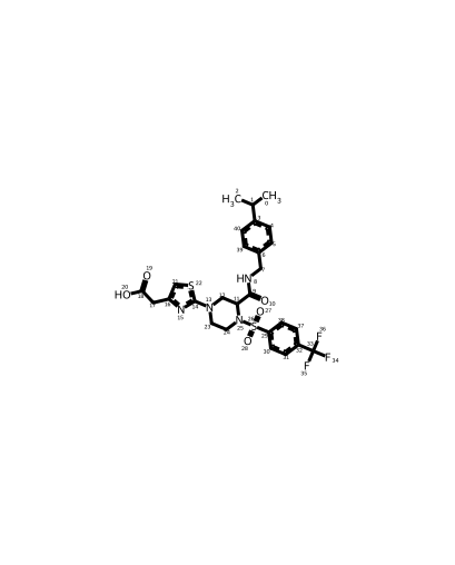 CC(C)c1ccc(CNC(=O)C2CN(c3nc(CC(=O)O)cs3)CCN2S(=O)(=O)c2ccc(C(F)(F)F)cc2)cc1